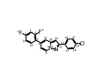 Fc1[c]c(F)c(-c2ccn3nc(-c4ccc(Cl)cc4)cc3c2)cc1